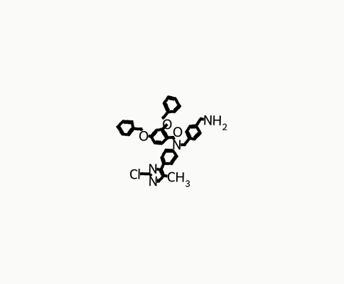 Cc1cnc(Cl)nc1-c1ccc(N(Cc2ccc(CN)cc2)C(=O)c2ccc(OCc3ccccc3)cc2OCc2ccccc2)cc1